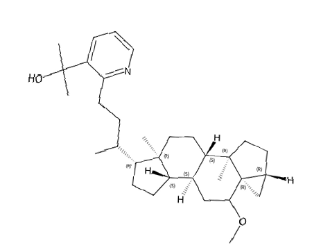 COC1C[C@H]2[C@@H]3CC[C@H](C(C)CCc4ncccc4C(C)(C)O)[C@@]3(C)CC[C@@H]2[C@@]2(C)CC[C@@H]3C[C@@]132